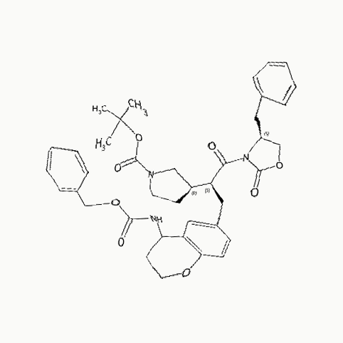 CC(C)(C)OC(=O)N1CC[C@H]([C@H](Cc2ccc3c(c2)C(NC(=O)OCc2ccccc2)CCO3)C(=O)N2C(=O)OC[C@@H]2Cc2ccccc2)C1